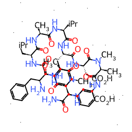 CC(C)C[C@H](NC(=O)CNC(=O)[C@H](Cc1ccccc1)N(C)C(=O)[C@H](C)NC(=O)[C@@H](N)Cc1ccccc1)C(=O)N[C@@H](C)C(=O)N[C@H](C(=O)N[C@@H](Cc1ccccc1)C(=O)N[C@@H](CC(=O)O)C(=O)N(C)[C@@H](C)C(=O)N[C@@H](CNCC(N)=O)C(=O)O)C(C)C